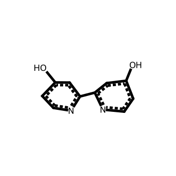 Oc1ccnc(-c2cc(O)ccn2)c1